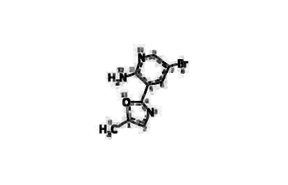 Cc1cnc(-c2cc(Br)cnc2N)o1